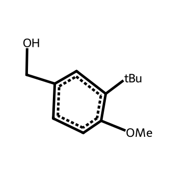 COc1ccc(CO)cc1C(C)(C)C